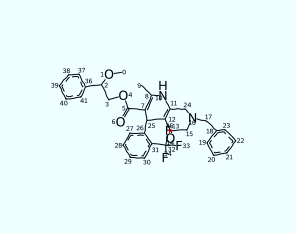 COC(COC(=O)C1=C(C)NC2=C(C(=O)CN(Cc3ccccc3)C2)C1c1ccccc1C(F)(F)F)c1ccccc1